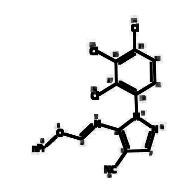 CCCOC=Nc1c(C#N)cnn1-c1ccc(Cl)c(Cl)c1Cl